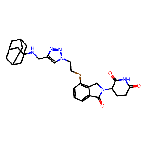 O=C1CCC(N2Cc3c(SCCn4cc(CNC56CC7CC(CC(C7)C5)C6)nn4)cccc3C2=O)C(=O)N1